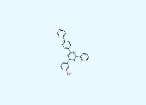 Brc1cccc(-c2nc(-c3ccccc3)nc(-c3ccc(-c4ccccc4)cc3)n2)c1